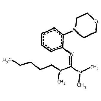 CCCCCN(C)/C(=N\c1ccccc1N1CCOCC1)N(C)C